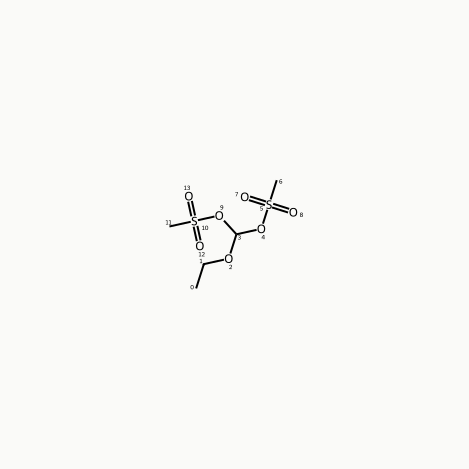 CCOC(OS(C)(=O)=O)OS(C)(=O)=O